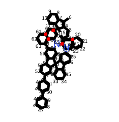 C=C(/C=C\C1=C(C)c2ccccc2C1(C)C)CN(c1ccccc1)c1ccc2c(c1)C1(c3ccccc3-2)c2cc(-c3ccc(-c4ccccc4)cc3)ccc2-c2cc(-c3ccccc3)c(N(c3ccccc3)c3ccccc3)cc21